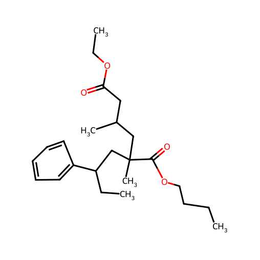 CCCCOC(=O)C(C)(CC(C)CC(=O)OCC)CC(CC)c1ccccc1